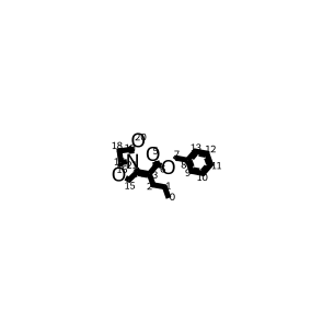 CCC/C(C(=O)OCc1ccccc1)=C1\COC2CC(=O)N12